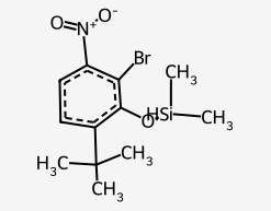 C[SiH](C)Oc1c(C(C)(C)C)ccc([N+](=O)[O-])c1Br